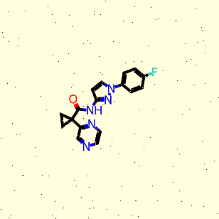 O=C(Nc1ccn(-c2ccc(F)cc2)n1)C1(c2cnccn2)CC1